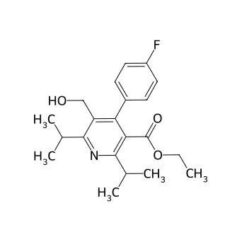 CCOC(=O)c1c(C(C)C)nc(C(C)C)c(CO)c1-c1ccc(F)cc1